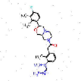 Cc1c(CC(=O)N2CCN3CC(c4ccc(F)c(C#N)c4C)OCC3C2)cccc1N(N)/C=N\N